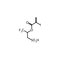 C=C(I)C(=O)OC(CS(=O)(=O)O)C(F)(F)F